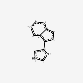 [c]1nc(-c2ccc3ccocc2-3)c[nH]1